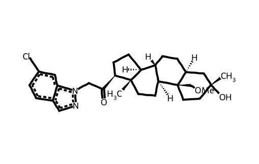 COC[C@]12CC[C@@](C)(O)C[C@@H]1CC[C@H]1[C@@H]3CC[C@H](C(=O)Cn4ncc5ccc(Cl)cc54)[C@@]3(C)CC[C@@H]12